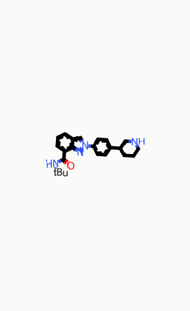 CC(C)(C)NC(=O)c1cccc2cn(-c3ccc(C4CCCNC4)cc3)nc12